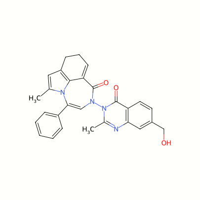 Cc1cc2c3n1C(c1ccccc1)=CN(n1c(C)nc4cc(CO)ccc4c1=O)C(=O)C3=CCC2